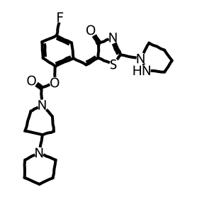 O=C1N=C(N2CCCCN2)S/C1=C/c1cc(F)ccc1OC(=O)N1CCC(N2CCCCC2)CC1